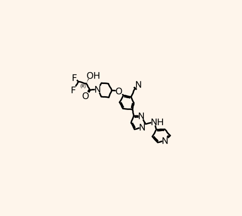 N#Cc1cc(-c2ccnc(Nc3ccncc3)n2)ccc1OC1CCN(C(=O)[C@@H](O)C(F)F)CC1